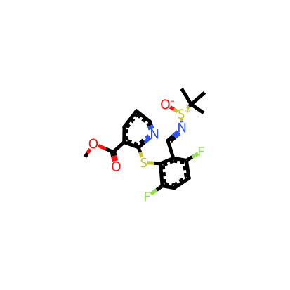 COC(=O)c1cccnc1Sc1c(F)ccc(F)c1/C=N/[S+]([O-])C(C)(C)C